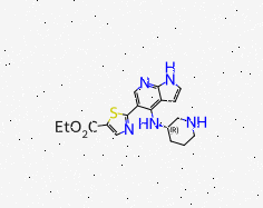 CCOC(=O)c1cnc(-c2cnc3[nH]ccc3c2N[C@@H]2CCCNC2)s1